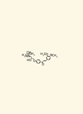 COc1ccc(/C=C/C(=O)c2ccc(OCC(O)CNC(C)(C)C)cc2)cc1OC